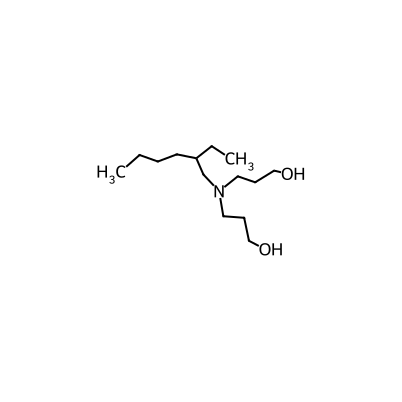 CCCCC(CC)CN(CCCO)CCCO